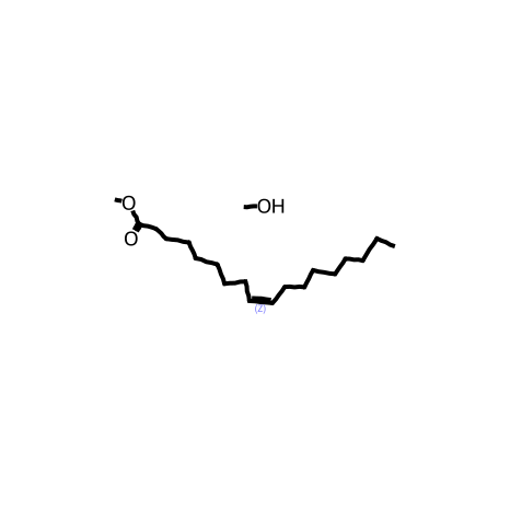 CCCCCCCC/C=C\CCCCCCCC(=O)OC.CO